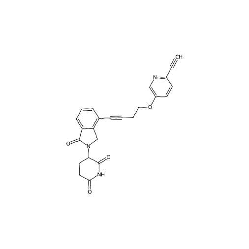 C#Cc1ccc(OCCC#Cc2cccc3c2CN(C2CCC(=O)NC2=O)C3=O)cn1